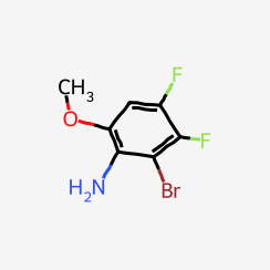 COc1cc(F)c(F)c(Br)c1N